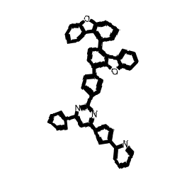 c1ccc(-c2cc(-c3ccc(-c4ccccn4)cc3)nc(-c3ccc(-c4ccc(-c5cccc6oc7ccccc7c56)c5c4oc4ccccc45)cc3)n2)cc1